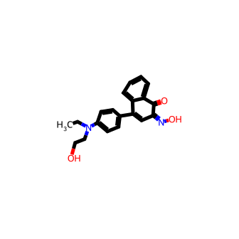 CCN(CCO)c1ccc(C2=C/C(=N/O)C(=O)c3ccccc32)cc1